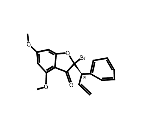 C=C[C@H](c1ccccc1)C1(Br)Oc2cc(OC)cc(OC)c2C1=O